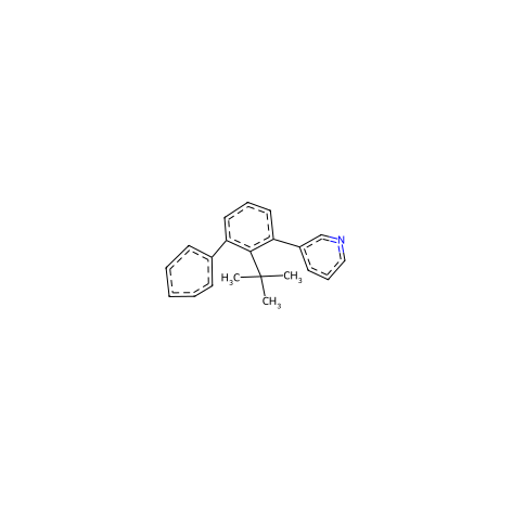 CC(C)(C)c1c(-c2ccccc2)cccc1-c1cccnc1